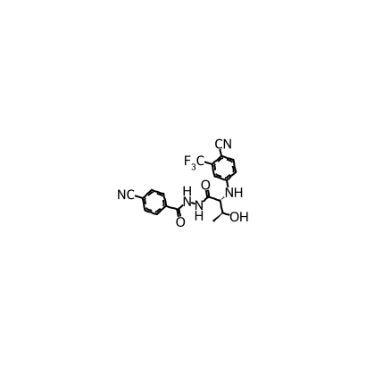 C[C@H](O)[C@@H](Nc1ccc(C#N)c(C(F)(F)F)c1)C(=O)NNC(=O)c1ccc(C#N)cc1